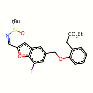 CCOC(=O)Cc1ccccc1OCc1cc(I)c2oc(/C=N\[S@@+]([O-])C(C)(C)C)cc2c1